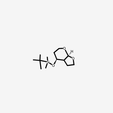 CC(C)(C)[Si](C)(C)O[C@H]1CCO[C@H]2OCCC21